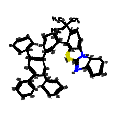 CC(C)(C)c1ccc2c(sc3nc4ccccc4n32)c1-c1cccc(-c2cc(-c3ccccc3)c(-c3ccccc3)cc2-c2ccccc2)c1